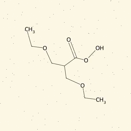 CCOCC(COCC)C(=O)OO